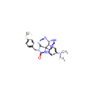 CSc1ccc(CN2C(=O)NC3(c4ccc(N(C)C)cc4)C2=NC=Nc2[nH]cnc23)cc1